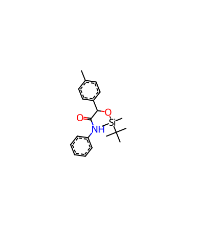 Cc1ccc(C(O[Si](C)(C)C(C)(C)C)C(=O)Nc2ccccc2)cc1